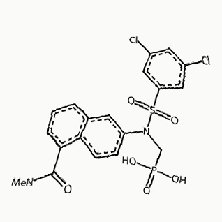 CNC(=O)c1cccc2cc(N(CP(=O)(O)O)S(=O)(=O)c3cc(Cl)cc(Cl)c3)ccc12